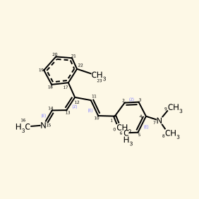 C=C(/C=C\C(=C/C)N(C)C)/C=C/C(=C/C=N/C)c1ccccc1C